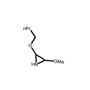 CCCCOC1NC1OC